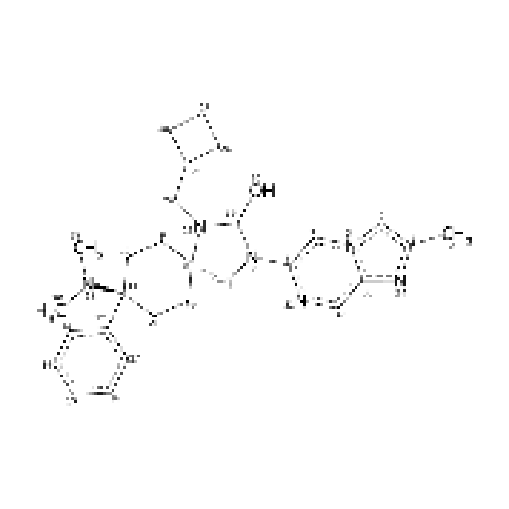 Cc1cn2cc(N3C[C@]4(CC[C@](c5ccccc5)(N(C)C)CC4)N(CC4CCC4)C3O)ncc2n1